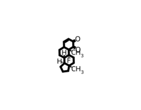 C[C@@]12CCC[C@H]1[C@@H]1CCC3C=CC(=O)C(=O)[C@]3(C)[C@@]1(F)CC2